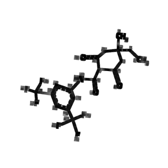 CCC1(C)CC(=O)C(C(=O)Nc2cc(C(F)(F)F)cc(C(F)(F)F)c2)C(=O)C1